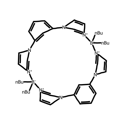 CCCC[B-]1(CCCC)[n+]2ccn(c2)-c2cccc(c2)-n2cc[n+](c2)[B-](CCCC)(CCCC)[n+]2ccn(c2)-c2cccc(c2)-n2cc[n+]1c2